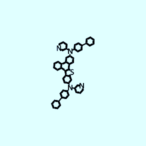 c1ccc(-c2ccc(N(c3cccnc3)c3ccc4c(c3)sc3c5ccc(N(c6ccc(-c7ccccc7)cc6)c6cccnc6)cc5c5ccccc5c43)cc2)cc1